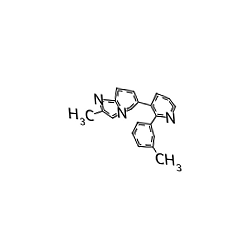 Cc1cccc(-c2ncccc2-c2ccc3nc(C)cn3c2)c1